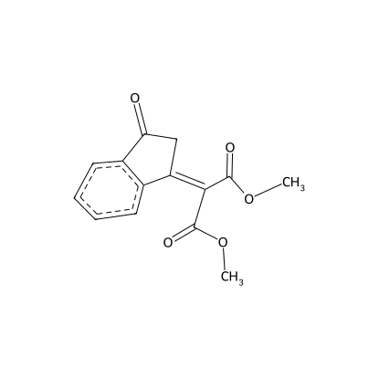 COC(=O)C(C(=O)OC)=C1CC(=O)c2ccccc21